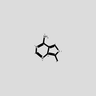 Cc1scc2c(N)ncnc12